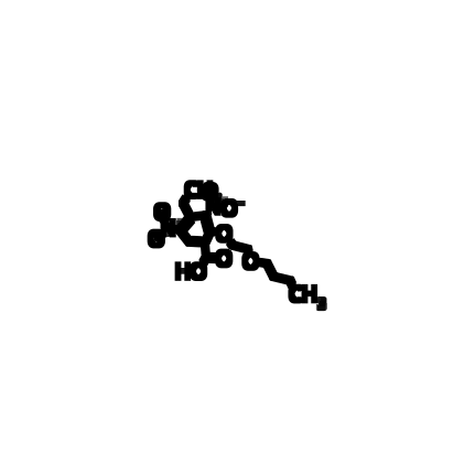 CCCCOCCOc1c(C(=O)O)cc([N+](=O)[O-])c(CC)c1[N+](=O)[O-]